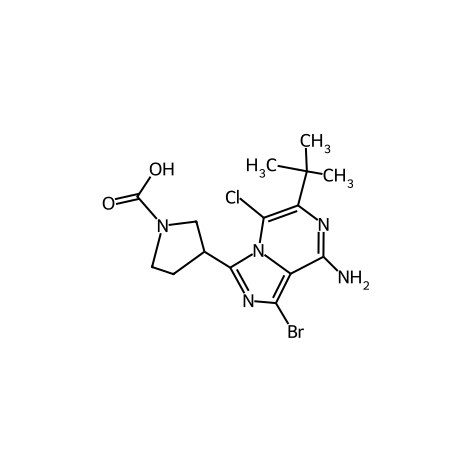 CC(C)(C)c1nc(N)c2c(Br)nc(C3CCN(C(=O)O)C3)n2c1Cl